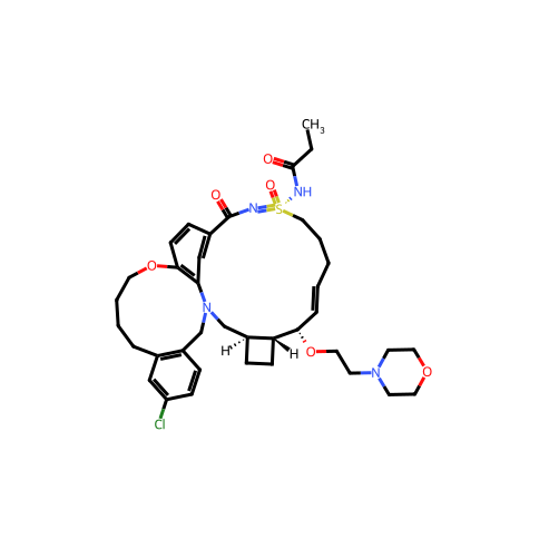 CCC(=O)N[S@@]1(=O)=NC(=O)c2ccc3c(c2)N(Cc2ccc(Cl)cc2CCCCO3)C[C@@H]2CC[C@H]2[C@@H](OCCN2CCOCC2)/C=C/CCC1